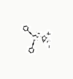 CCOC(=O)[C@]12CC1[C@@H](n1cnc3c(C#Cc4ccccc4)nc(C#Cc4ccccc4)nc31)C1OC(C)(C)O[C@@H]12